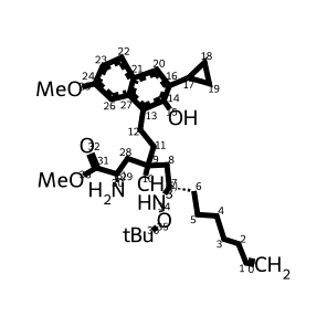 C=CCCCCC[C@@H](CC(C)(CCc1c(O)c(C2CC2)cc2ccc(OC)cc12)C[C@H](N)C(=O)OC)NOC(C)(C)C